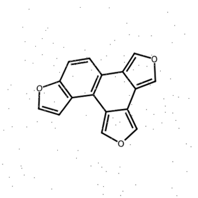 c1cc2c(ccc3c4cocc4c4cocc4c23)o1